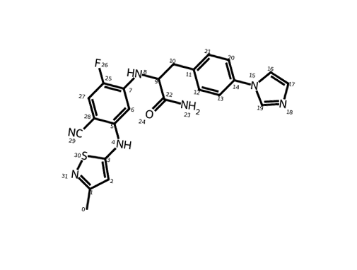 Cc1cc(Nc2cc(NC(Cc3ccc(-n4ccnc4)cc3)C(N)=O)c(F)cc2C#N)sn1